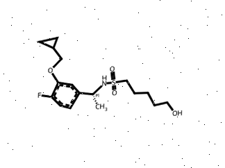 C[C@@H](NS(=O)(=O)CCCCCO)c1ccc(F)c(OCC2CC2)c1